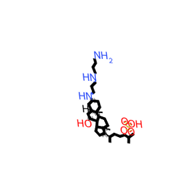 CC(C)C(CCC(C)[C@H]1CCC2C3C(CC[C@@]21C)[C@@]1(C)CC[C@H](NCCCNCCCCN)C[C@@H]1C[C@H]3O)OS(=O)(=O)O